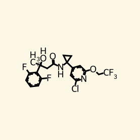 C[C@@](O)(CC(=O)NC1(c2cc(Cl)nc(OCC(F)(F)F)c2)CC1)c1c(F)cccc1F